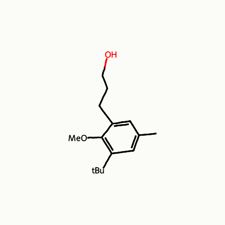 COc1c(CCCO)cc(C)cc1C(C)(C)C